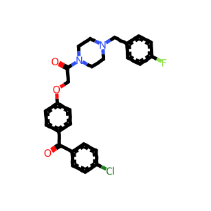 O=C(c1ccc(Cl)cc1)c1ccc(OCC(=O)N2CCN(Cc3ccc(F)cc3)CC2)cc1